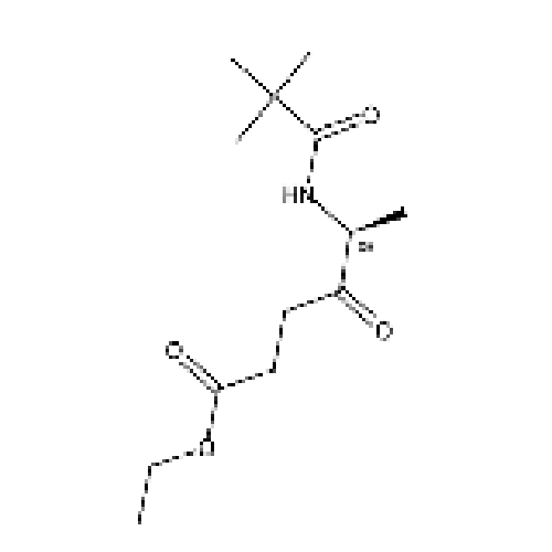 CCOC(=O)CCC(=O)[C@H](C)NC(=O)C(C)(C)C